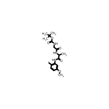 COc1ccc(I)c(NC(=O)C(C)NC(=O)CNC(=O)OC(C)(C)C)c1